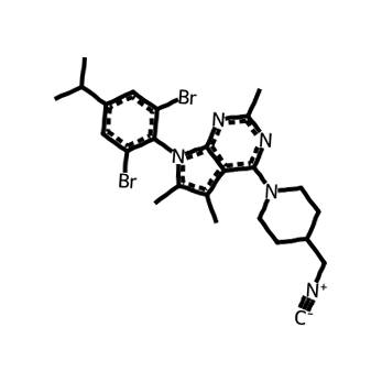 [C-]#[N+]CC1CCN(c2nc(C)nc3c2c(C)c(C)n3-c2c(Br)cc(C(C)C)cc2Br)CC1